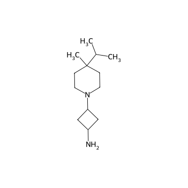 CC(C)C1(C)CCN(C2CC(N)C2)CC1